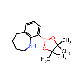 CC1(C)OB(c2cccc3c2NCCCC3)OC1(C)C